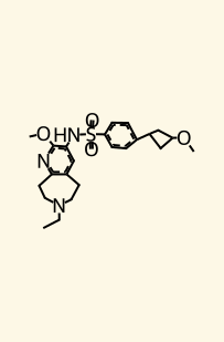 CCN1CCc2cc(NS(=O)(=O)c3ccc(C4CC(OC)C4)cc3)c(OC)nc2CC1